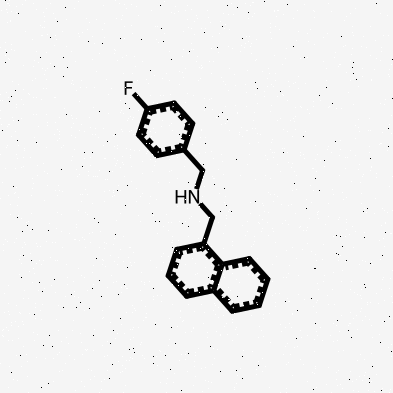 Fc1ccc(CNCc2cccc3ccccc23)cc1